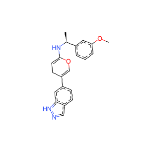 COc1cccc([C@H](C)NC2=CCC(c3ccc4cn[nH]c4c3)=CO2)c1